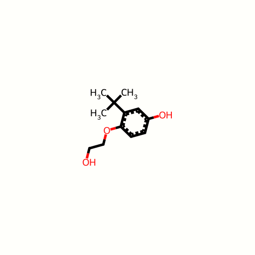 CC(C)(C)c1cc(O)ccc1OCCO